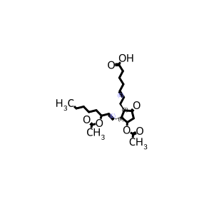 CCCCCC(/C=C/[C@H]1C(OC(C)=O)CC(=O)[C@@H]1C/C=C/CCCC(=O)O)OC(C)=O